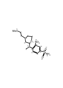 COCCN1CCOC(N(C)c2ccc(S(N)(=O)=O)cc2[N+](=O)[O-])C1